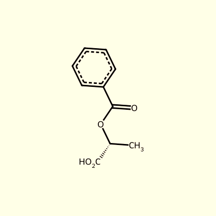 C[C@@H](OC(=O)c1ccccc1)C(=O)O